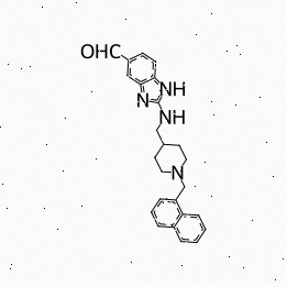 O=Cc1ccc2[nH]c(NCC3CCN(Cc4cccc5ccccc45)CC3)nc2c1